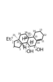 CC[C@H]1CC[C@H]2[C@@H]3[C@@H](O)[C@@H](O)C4=CCCC[C@]4(C)[C@H]3CC[C@]12C